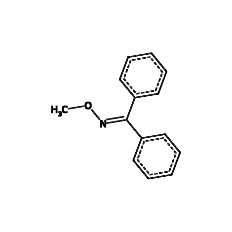 CON=C(c1ccccc1)c1ccccc1